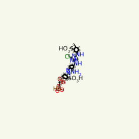 Cc1ccc(Nc2nc(Cl)nc(Nc3ccc(/N=N/c4ccc(S(=O)(=O)CCO[SH](=O)=O)cc4S(=O)(=O)O)c(N)c3)n2)cc1S(=O)(=O)O